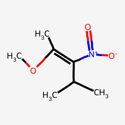 CO/C(C)=C(\C(C)C)[N+](=O)[O-]